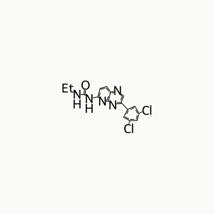 CCNC(=O)Nc1ccc2ncc(-c3cc(Cl)cc(Cl)c3)nc2n1